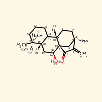 C=C1C(=O)[C@]23C[C@H]1CC[C@H]2[C@]1(C)CCC[C@@](C)(C(=O)O)[C@H]1C[C@@H]3O